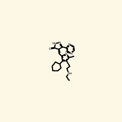 CCNCCc1c(C)[nH]c(/C=C2/C(=O)NN=C2c2cnccn2)c1C1CCCCC1